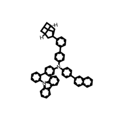 c1cc(-c2ccc(N(c3ccc(-c4ccc5ccccc5c4)cc3)c3ccc(-c4ccccc4-n4c5ccccc5c5ccccc54)cc3)cc2)cc(C23C[C@@H]4CC5C[C@@H](C2)C54C3)c1